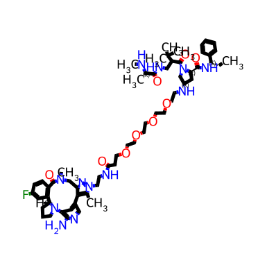 CC[C@H](NC(=O)[C@H]1C[C@@H](NCCOCCOCCOCCOCCC(=O)NCCn2nc3c(c2C)-c2cnc(N)c(c2)N2CCC[C@@H]2c2cc(F)ccc2C(=O)N(C)C3)CN1C(=O)C(CNC(=O)[C@@H](C)NC)C(C)(C)C)c1ccccc1